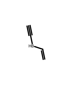 C#CBC=C